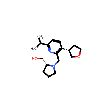 CC(C)c1ccc([C@@H]2CCOC2)c(CN2CCC[C@@H]2CO)n1